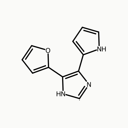 [c]1nc(-c2ccc[nH]2)c(-c2ccco2)[nH]1